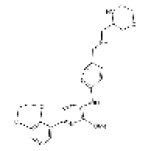 COc1nc(-c2cccc3c2OCCO3)ccc1Nc1ccc(CNCC2COCCN2)cc1